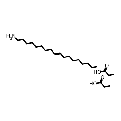 CCC(=O)O.CCC(=O)O.CCCCCCCCC=CCCCCCCCCN